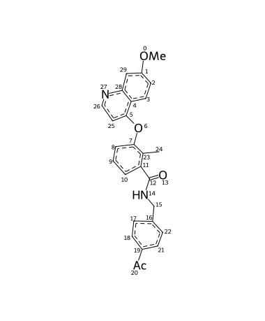 COc1ccc2c(Oc3cccc(C(=O)NCc4ccc(C(C)=O)cc4)c3C)ccnc2c1